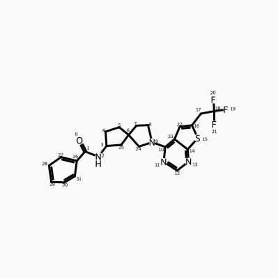 O=C(NC1CCC2(CCN(c3ncnc4sc(CC(F)(F)F)cc34)C2)C1)c1ccccc1